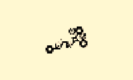 COc1ccccc1C1CC(CN(C)C[C@@H](C)COCc2ccccc2)C1c1ccccc1OC